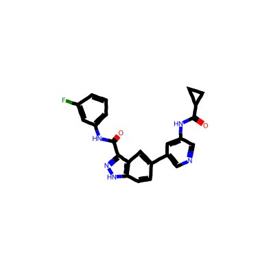 O=C(Nc1cccc(F)c1)c1n[nH]c2ccc(-c3cncc(NC(=O)C4CC4)c3)cc12